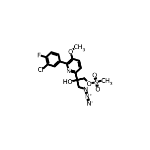 COc1ccc(C(O)(CN=[N+]=[N-])COS(C)(=O)=O)nc1-c1ccc(F)c(Cl)c1